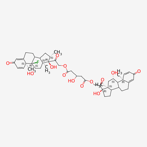 C[C@H]1CC2C3CCC4=CC(=O)C=C[C@]4(C)[C@@]3(F)[C@@H](O)C[C@]2(C)[C@@]1(O)C(=O)COC(=O)CC(O)CC(=O)OCC(=O)[C@@]1(O)CCC2C3CCC4=CC(=O)C=C[C@]4(C)C3[C@@H](O)C[C@@]21C